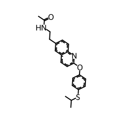 CC(=O)NCCc1ccc2nc(Oc3ccc(SC(C)C)cc3)ccc2c1